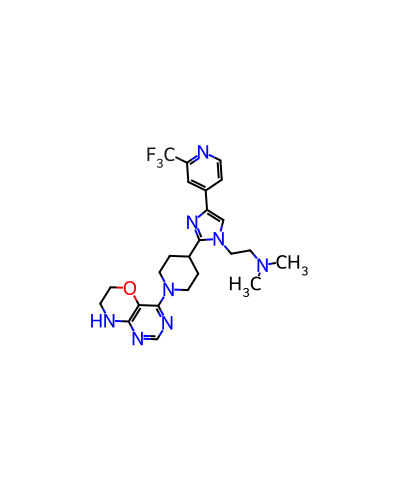 CN(C)CCn1cc(-c2ccnc(C(F)(F)F)c2)nc1C1CCN(c2ncnc3c2OCCN3)CC1